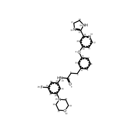 O=C(CCc1cccc(Oc2ccnc(C3=NCCN3)c2)c1)Nc1cc(F)cc(N2CCOCC2)c1